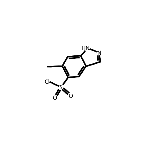 Cc1cc2[nH]ncc2cc1S(=O)(=O)Cl